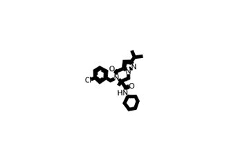 CC(C)c1cc2n(n1)CC(C)(C(=O)NC1CCCCC1)N(Cc1cccc(Cl)c1)C2=O